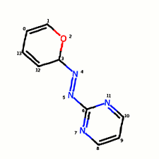 C1=COC(N=Nc2ncccn2)C=C1